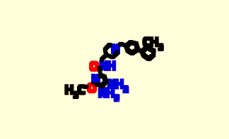 CCOc1nc(C(=O)NCC2CCN(Cc3ccc(-c4ccccc4C)cc3)CC2)cc(N)c1N